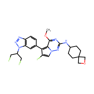 COc1nc(NC2CCC3(CC2)COC3)nn2cc(F)c(-c3ccc4nnn(C(CF)CF)c4c3)c12